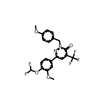 COc1ccc(Cn2nc(-c3ccc(OC(F)F)c(OC)c3)cc(C(F)(F)F)c2=O)cc1